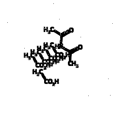 CC(=O)NC(C)=O.CC(=O)O.CC(=O)O.CC(=O)O.CC(=O)O.CC(=O)O